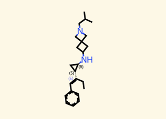 CC/C(=C\c1ccccc1)[C@@H]1C[C@H]1NC1CC2(C1)CN(CC(C)C)C2